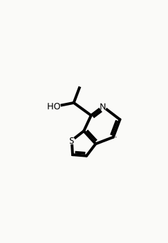 CC(O)c1nc[c]c2ccsc12